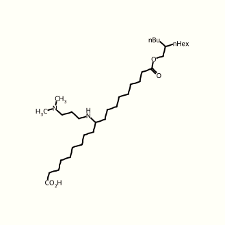 CCCCCCC(CCCC)COC(=O)CCCCCCCCC(CCCCCCCCC(=O)O)NCCCN(C)C